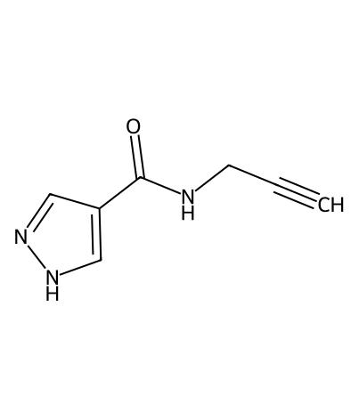 C#CCNC(=O)c1cn[nH]c1